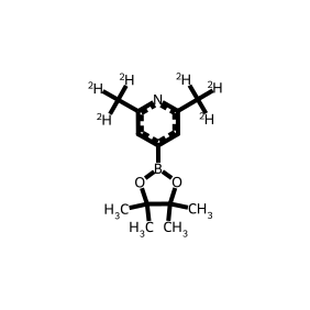 [2H]C([2H])([2H])c1cc(B2OC(C)(C)C(C)(C)O2)cc(C([2H])([2H])[2H])n1